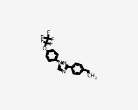 C=Cc1ccc(-c2ncn(-c3ccc(OC(F)(F)C(F)(F)F)cc3)n2)cc1